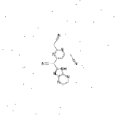 N#CCc1cc(C(C#N)c2nc3nccnc3[nH]2)nc(CC#N)n1